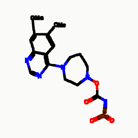 COc1cc2ncnc(N3CCCN(OC(=O)N=S(=O)=O)CC3)c2cc1OC